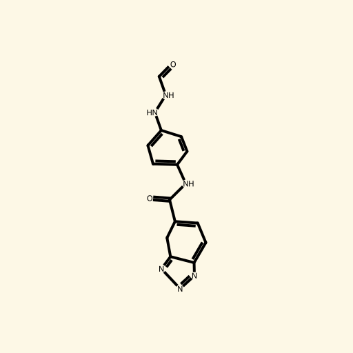 O=CNNc1ccc(NC(=O)C2=CC=C3N=NN=C3C2)cc1